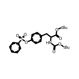 CC(C)(C)OC(=O)NC(Cc1ccc(OS(=O)(=O)c2ccccc2)cc1)C(=O)OC(C)(C)C